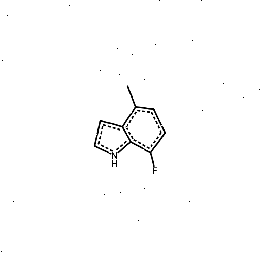 Cc1ccc(F)c2[nH]ccc12